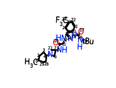 CC1CCC(N2CC(NC(=O)CNc3nn(C(=O)NC(C)(C)C)c4ccc(C(F)(F)F)cc34)C2)CC1